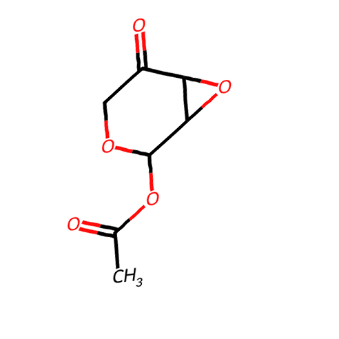 CC(=O)OC1OCC(=O)C2OC12